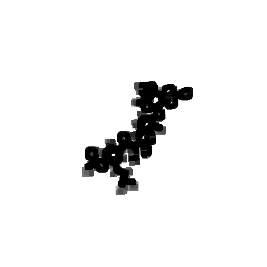 COC1C2OC(=O)OC2C(Oc2ccc3cc(NC(=O)c4ccc(OC(C)=O)c(CC=C(C)C)c4)c(=O)oc3c2C)OC1(C)C